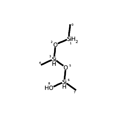 C[SiH2]O[SiH](C)O[SiH](C)O